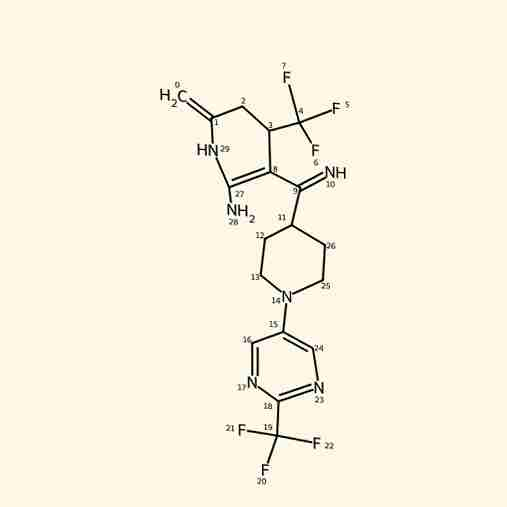 C=C1CC(C(F)(F)F)C(C(=N)C2CCN(c3cnc(C(F)(F)F)nc3)CC2)=C(N)N1